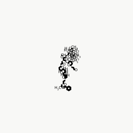 C=C(Br)C[C@H](CC[C@@]12C[C@H]3O[C@H]4[C@@H](O1)[C@H]1O[C@@H](CC(=O)C[C@@H]5[C@@H](OC)[C@@H](C[C@@H](CO[Si](C)(C)C(C)(C)C)O[Si](C)(C)C(C)(C)C)O[C@H]5C[C@H]5O[C@@H](CCC=O)C[C@@H](C)C5=C)CC[C@@H]1O[C@H]4[C@H]3O2)OC(=O)c1ccccc1